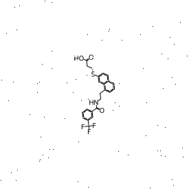 O=C(O)CCSc1ccc2cccc(CCNC(=O)c3cccc(C(F)(F)F)c3)c2c1